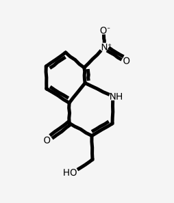 O=c1c(CO)c[nH]c2c([N+](=O)[O-])cccc12